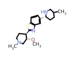 CO[C@@H]1CN(C)CC[C@H]1c1nc2cc([C@H]3CCC(C)CN3)ccc2s1